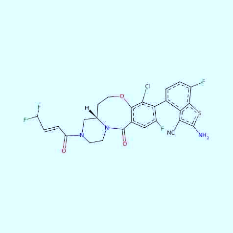 N#Cc1c(N)sc2c(F)ccc(-c3c(F)cc4c(c3Cl)OCC[C@H]3CN(C(=O)/C=C/C(F)F)CCN3C4=O)c12